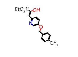 CCOC(=O)C(O)=Cc1ccc(OCc2ccc(C(F)(F)F)cc2)cn1